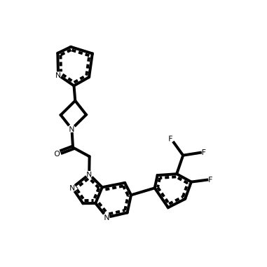 O=C(Cn1ncc2ncc(-c3ccc(F)c(C(F)F)c3)cc21)N1CC(c2ccccn2)C1